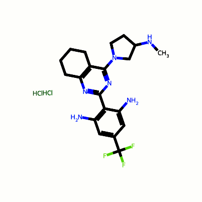 CNC1CCN(c2nc(-c3c(N)cc(C(F)(F)F)cc3N)nc3c2CCCC3)C1.Cl.Cl